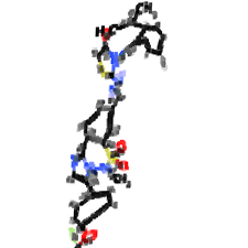 CC(C)c1ccccc1N1C(=O)CS/C1=N\N=C\c1ccc2c(c1)S(=O)(=O)N(C)n1c(-c3ccc(OC(F)(F)F)cc3)cnc1-2